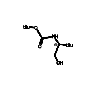 CC(C)(C)OC(=O)N[C@H](CO)C(C)(C)C